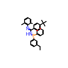 CCc1cccc(P(N/C(=N/c2c(C)cccc2C)c2ccc(C(C)(C)C)cc2)c2ccccc2)c1